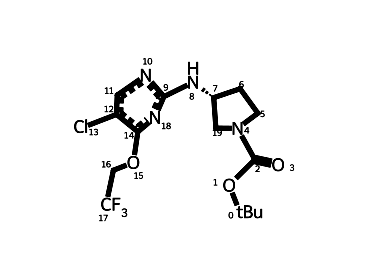 CC(C)(C)OC(=O)N1CC[C@@H](Nc2ncc(Cl)c(OCC(F)(F)F)n2)C1